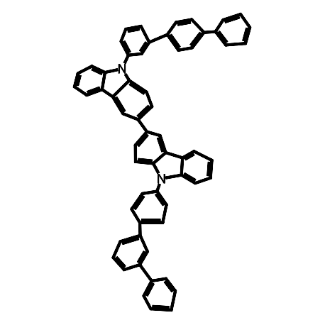 c1ccc(-c2ccc(-c3cccc(-n4c5ccccc5c5cc(-c6ccc7c(c6)c6ccccc6n7-c6ccc(-c7cccc(-c8ccccc8)c7)cc6)ccc54)c3)cc2)cc1